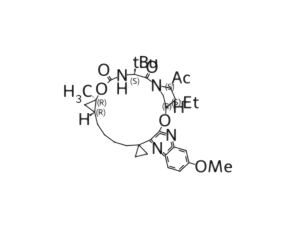 CC[C@@H]1[C@@H]2CN(C(=O)[C@H](C(C)(C)C)NC(=O)O[C@]3(C)C[C@H]3CCCCC3(CC3)c3nc4ccc(OC)cc4nc3O2)[C@@H]1C(C)=O